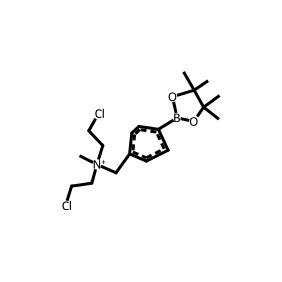 CC1(C)OB(c2ccc(C[N+](C)(CCCl)CCCl)cc2)OC1(C)C